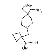 COCC1(CN)CCN(CC2(C(O)O)CCC2)CC1